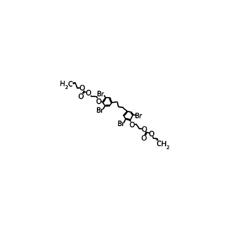 C=CCOC(=O)OCCOc1c(Br)cc(CCCc2cc(Br)c(OCCOC(=O)OCC=C)c(Br)c2)cc1Br